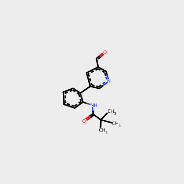 CC(C)(C)C(=O)Nc1ccccc1-c1cncc(C=O)c1